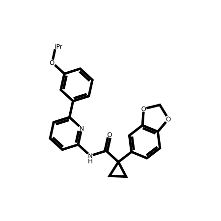 CC(C)Oc1cccc(-c2cccc(NC(=O)C3(c4ccc5c(c4)OCO5)CC3)n2)c1